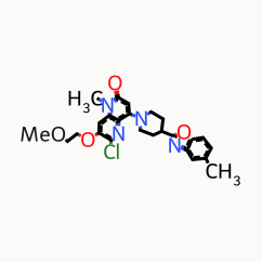 COCCOc1cc2c(nc1Cl)c(N1CCC(c3nc4cc(C)ccc4o3)CC1)cc(=O)n2C